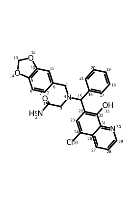 NC(=O)CN(Cc1ccc2c(c1)OCO2)C(c1ccccc1)c1cc(Cl)c2cccnc2c1O